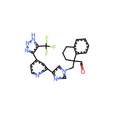 O=CC1(Cn2cnc(-c3cc(-c4nn[nH]c4C(F)(F)F)ccn3)c2)CCCc2ccccc21